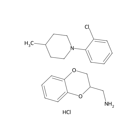 CC1CCN(c2ccccc2Cl)CC1.Cl.NCC1COc2ccccc2O1